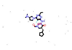 CCc1nc(NNC(=O)[C@@H](CC2CCCC2)CN(O)C=O)c(F)c(N2C[C@H](C)[C@@H](N(C)C)C2)n1